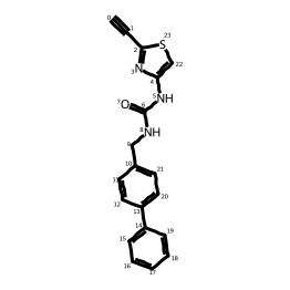 C#Cc1nc(NC(=O)NCc2ccc(-c3ccccc3)cc2)cs1